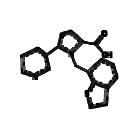 O=C(O)c1ccc(-c2cccnc2)n1Cc1cccc2ccsc12